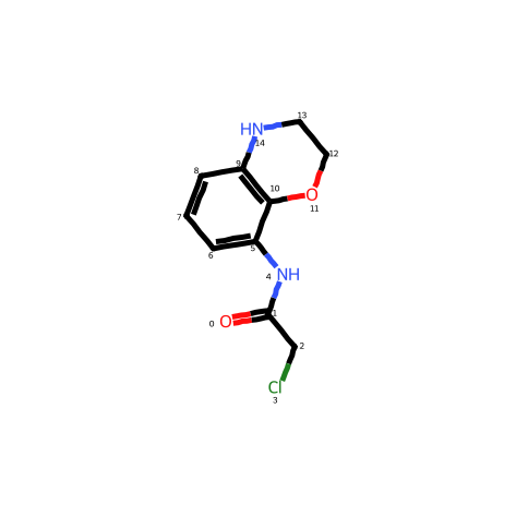 O=C(CCl)Nc1cccc2c1OCCN2